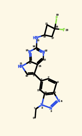 CCn1nnc2ccc(-c3c[nH]c4nc(NC5CC(F)(F)C5)ncc34)cc21